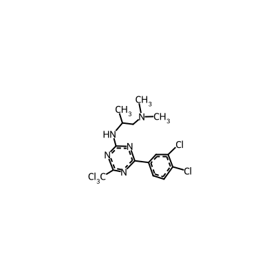 CC(CN(C)C)Nc1nc(-c2ccc(Cl)c(Cl)c2)nc(C(Cl)(Cl)Cl)n1